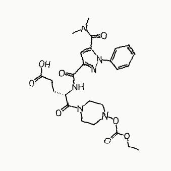 CCOC(=O)ON1CCN(C(=O)[C@H](CCC(=O)O)NC(=O)c2cc(C(=O)N(C)C)n(-c3ccccc3)n2)CC1